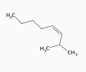 CCCC/C=C\C(C)C